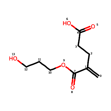 C=C(CCC(=O)O)C(=O)OCCCO